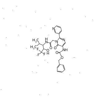 CC(C)C(NC(=O)Cn1c(-c2cccnc2)ncc(NC(=O)OCc2ccccc2)c1=O)C(O)C(F)(F)F